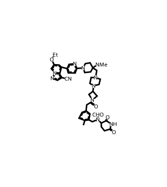 CCOc1cc(-c2ccc(N3CCC(CN4CCN(C5CN(C(=O)Cc6ccc(C)c(CN(C=O)C7CCC(=O)NC7=O)c6)C5)CC4)(NC)CC3)nc2)c2c(C#N)cnn2c1